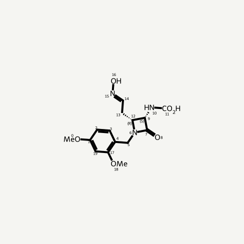 COc1ccc(CN2C(=O)[C@@H](NC(=O)O)[C@H]2CC=NO)c(OC)c1